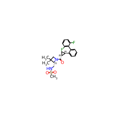 CC1(C)CN(C(=O)[C@@H]2C[C@H]2c2ccccc2-c2c(F)cccc2F)[C@@H]1CNS(C)(=O)=O